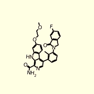 COCCOc1ccc2c(c1)[nH]c1c(C(N)=O)ncc(-c3cccc(N4Cc5ccc(F)cc5C4=O)c3C)c12